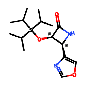 CC(C)[Si](O[C@H]1C(=O)N[C@H]1c1cocn1)(C(C)C)C(C)C